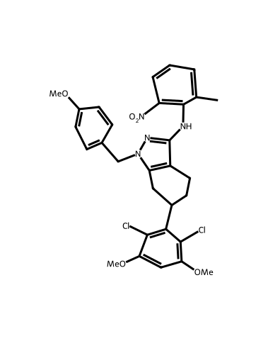 COc1ccc(Cn2nc(Nc3c(C)cccc3[N+](=O)[O-])c3c2CC(c2c(Cl)c(OC)cc(OC)c2Cl)CC3)cc1